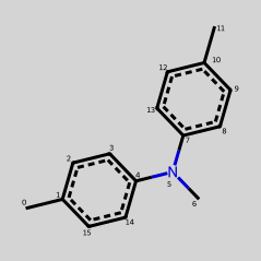 Cc1ccc(N(C)c2ccc(C)cc2)cc1